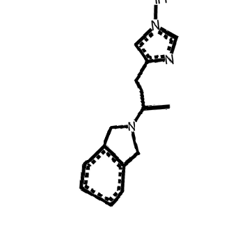 CC(Cc1cn(C(C)C)cn1)N1Cc2ccccc2C1